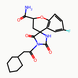 NC(=O)C1CC2(NC(=O)N(C(=O)CC3CCCCC3)C2=O)c2cc(F)ccc2O1